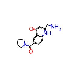 NCc1cc(=O)c2cc(C(=O)N3CCCC3)ccc2[nH]1